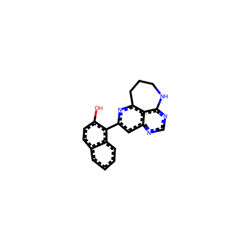 Oc1ccc2ccccc2c1-c1cc2ncnc3c2c(n1)CCCN3